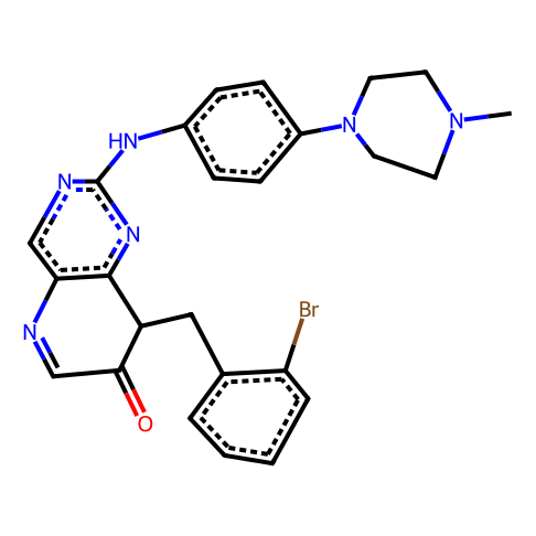 CN1CCN(c2ccc(Nc3ncc4c(n3)C(Cc3ccccc3Br)C(=O)C=N4)cc2)CC1